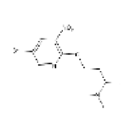 CC(CCOc1ncc(Br)cc1[N+](=O)[O-])N(C)C